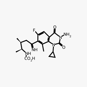 Cc1c(C(=N)C[C@H](C)[C@H](C)NC(=O)O)c(F)cc2c(=O)n(N)c(=O)n(C3CC3)c12